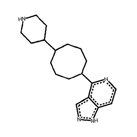 c1cc2[nH]ncc2c(C2CCCC(C3CCNCC3)CCC2)n1